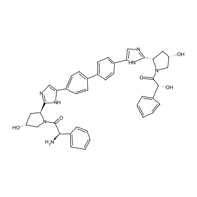 N[C@@H](C(=O)N1C[C@H](O)C[C@H]1c1ncc(-c2ccc(-c3ccc(-c4cnc([C@@H]5C[C@H](O)CN5C(=O)[C@H](O)c5ccccc5)[nH]4)cc3)cc2)[nH]1)c1ccccc1